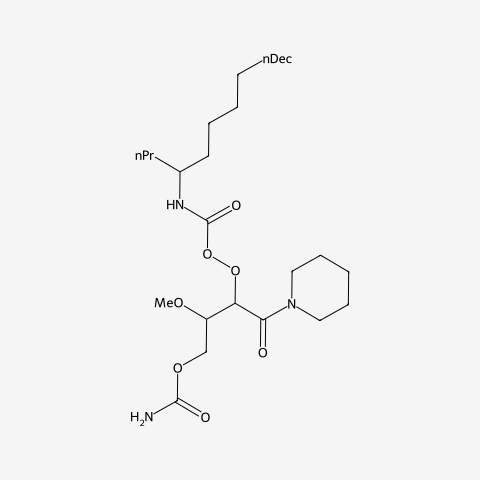 CCCCCCCCCCCCCCC(CCC)NC(=O)OOC(C(=O)N1CCCCC1)C(COC(N)=O)OC